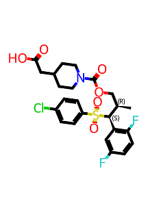 C[C@H](COC(=O)N1CCC(CC(=O)O)CC1)[C@@H](c1cc(F)ccc1F)S(=O)(=O)c1ccc(Cl)cc1